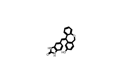 O=c1[nH]c2ccc(/C=C3\c4cc(O)ccc4COc4ccccc43)cc2[nH]1